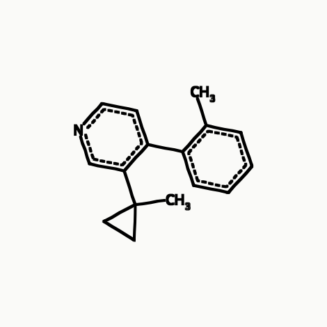 Cc1ccccc1-c1ccncc1C1(C)CC1